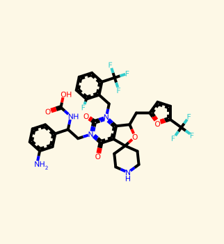 Nc1cccc(C(Cn2c(=O)c3c(n(Cc4c(F)cccc4C(F)(F)F)c2=O)C(Cc2ccc(C(F)(F)F)o2)OC32CCNCC2)NC(=O)O)c1